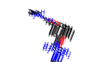 CC(=O)O.CC(=O)O.CC(=O)O.CC(=O)O.CC(=O)O.CC(=O)O.CC(=O)O.CC(=O)O.CC(=O)O.CC(=O)O.CC(=O)[O-].CC(=O)[O-].CC(=O)[O-].CC(=O)[O-].CC(=O)[O-].CC(=O)[O-].CC(=O)[O-].CC(=O)[O-].CC(=O)[O-].CC(=O)[O-].N.N.N.N.N.N.N.N.N.N.NCCNCCN.NCCNCCN.NCCNCCN.NCCNCCN.[Zn+2].[Zn+2].[Zn+2].[Zn+2].[Zn+2]